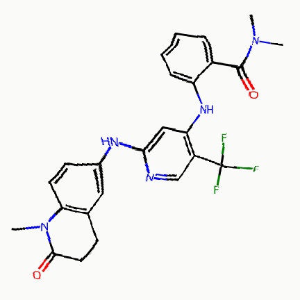 CN(C)C(=O)c1ccccc1Nc1cc(Nc2ccc3c(c2)CCC(=O)N3C)ncc1C(F)(F)F